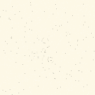 COCCCCOc1cc(C(=O)N[C@@H](Cc2ccccc2)[C@H](O)C[C@@H](C)C(=O)NC2CC3CCC2C3)cc(N2CCCC2=O)c1